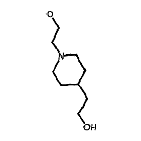 [O]CCN1CCC(CCO)CC1